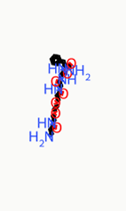 NCCC(=O)NCCOCCOCCC(=O)NCC(=O)NCC(=O)NC(Cc1ccccc1)C(N)=O